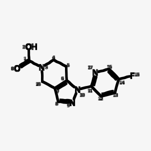 O=C(O)N1CCc2c(cnn2-c2ccc(F)cn2)C1